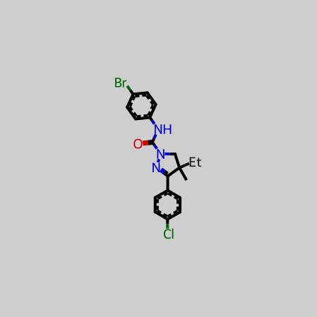 CCC1(C)CN(C(=O)Nc2ccc(Br)cc2)N=C1c1ccc(Cl)cc1